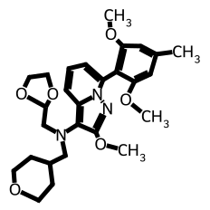 COc1cc(C)cc(OC)c1-c1cccc2c(N(CC3CCOCC3)CC3OCCO3)c(OC)nn12